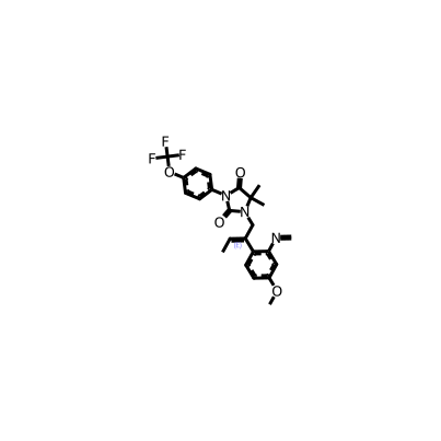 C=Nc1cc(OC)ccc1/C(=C\C)CN1C(=O)N(c2ccc(OC(F)(F)F)cc2)C(=O)C1(C)C